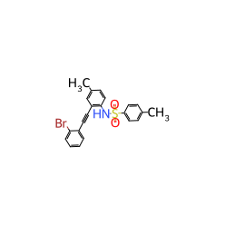 Cc1ccc(S(=O)(=O)Nc2ccc(C)cc2C#Cc2ccccc2Br)cc1